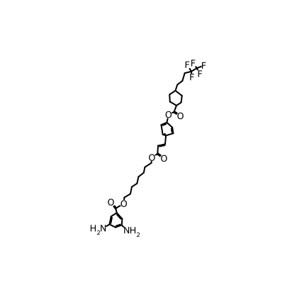 Nc1cc(N)cc(C(=O)OCCCCCCCCOC(=O)C=Cc2ccc(OC(=O)C3CCC(CCCC(F)(F)C(F)(F)F)CC3)cc2)c1